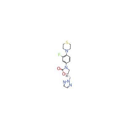 O=C1O[C@@H](Cn2nccn2)CN1c1ccc(N2CCSCC2)c(F)c1